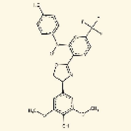 COc1cc([C@H]2COC(c3ccc(C(F)(F)F)cc3[S+]([O-])c3ccc(C)cc3)=N2)cc(OC)c1O